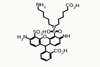 N=C1C=CC2C(=C1S(=O)(=O)N(CCCCCN)CCCCCC(=O)O)Oc1c(ccc(N)c1S(=O)(=O)O)C2c1ccccc1C(=O)O